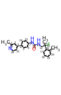 Cc1cc(-c2ccc(NC(=O)NCC(C)(F)c3ccccc3C)cc2)ccn1